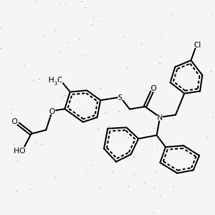 Cc1cc(SCC(=O)N(Cc2ccc(Cl)cc2)C(c2ccccc2)c2ccccc2)ccc1OCC(=O)O